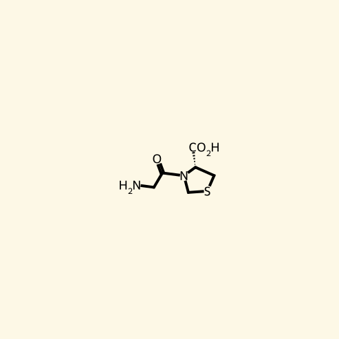 NCC(=O)N1CSC[C@H]1C(=O)O